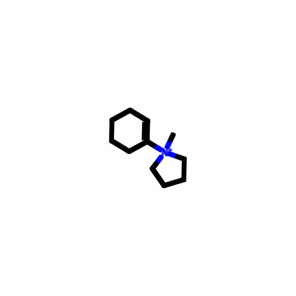 C[N+]1(C2=CCCCC2)CCCC1